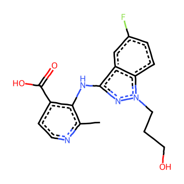 Cc1nccc(C(=O)O)c1Nc1nn(CCCO)c2ccc(F)cc12